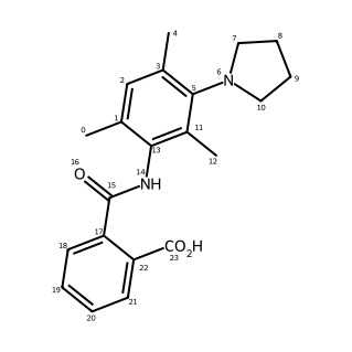 Cc1cc(C)c(N2CCCC2)c(C)c1NC(=O)c1ccccc1C(=O)O